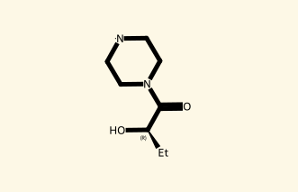 CC[C@@H](O)C(=O)N1CC[N]CC1